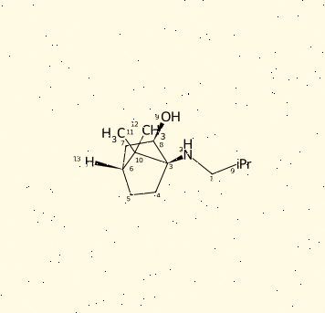 CC(C)CN[C@]12CC[C@H](C[C@H]1O)C2(C)C